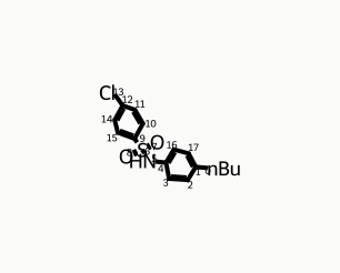 CCCCc1ccc(NS(=O)(=O)c2ccc(Cl)cc2)cc1